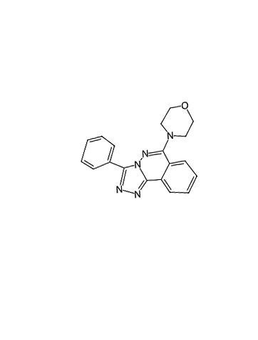 c1ccc(-c2nnc3c4ccccc4c(N4CCOCC4)nn23)cc1